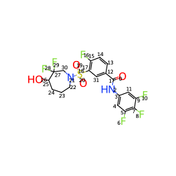 O=C(Nc1cc(F)c(F)c(F)c1)c1ccc(F)c(S(=O)(=O)N2CCCC(O)C(F)(F)C2)c1